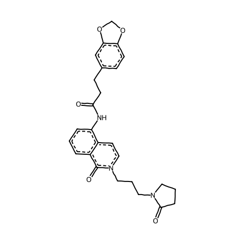 O=C(CCc1ccc2c(c1)OCO2)Nc1cccc2c(=O)n(CCCN3CCCC3=O)ccc12